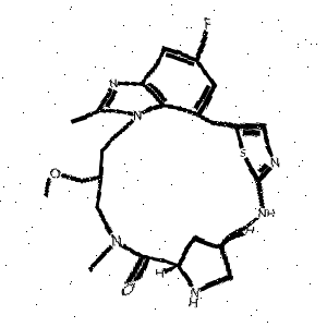 COC1CN(C)C(=O)[C@@H]2C[C@@H](CN2)Nc2ncc(s2)-c2cc(F)cc3nc(C)n(c23)C1